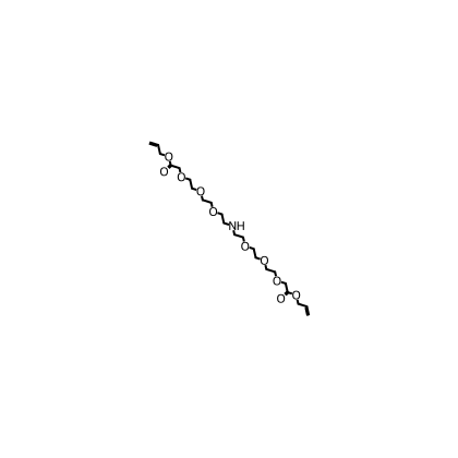 C=CCOC(=O)COCCOCCOCCNCCOCCOCCOCC(=O)OCC=C